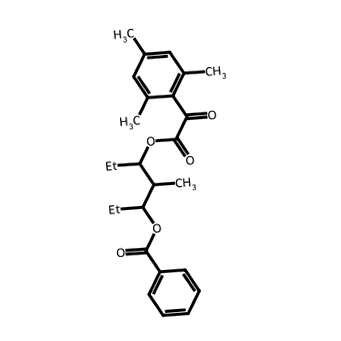 CCC(OC(=O)C(=O)c1c(C)cc(C)cc1C)C(C)C(CC)OC(=O)c1ccccc1